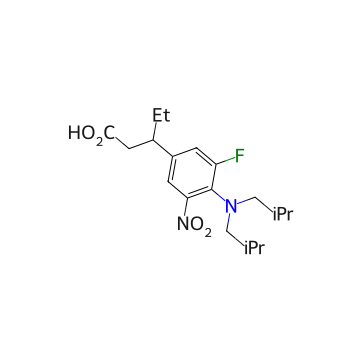 CCC(CC(=O)O)c1cc(F)c(N(CC(C)C)CC(C)C)c([N+](=O)[O-])c1